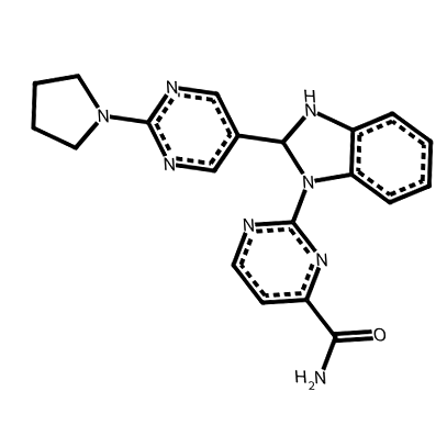 NC(=O)c1ccnc(N2c3ccccc3NC2c2cnc(N3CCCC3)nc2)n1